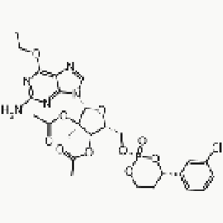 CCOc1nc(N)nc2c1ncn2[C@@H]1O[C@H](CO[P@@]2(=O)OCC[C@@H](c3cccc(Cl)c3)O2)[C@@H](OC(C)=O)[C@@]1(C)OC(C)=O